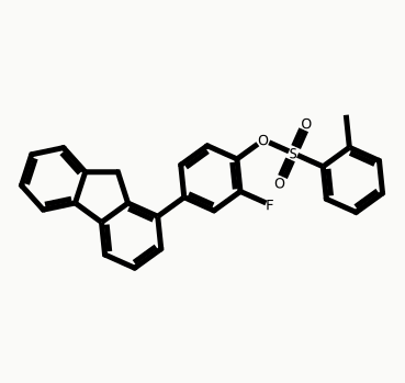 Cc1ccccc1S(=O)(=O)Oc1ccc(-c2cccc3c2Cc2ccccc2-3)cc1F